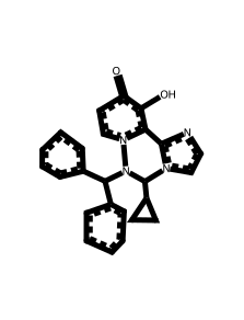 O=c1ccn2c(c1O)-c1nccn1C(C1CC1)N2C(c1ccccc1)c1ccccc1